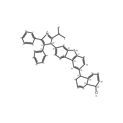 CC(C)c1nc(-c2ccccc2)c(-c2ccccc2)n1-c1ccc2c(c1)sc1ccc(C3CC=CC4C3=CC=CC4Cl)cc12